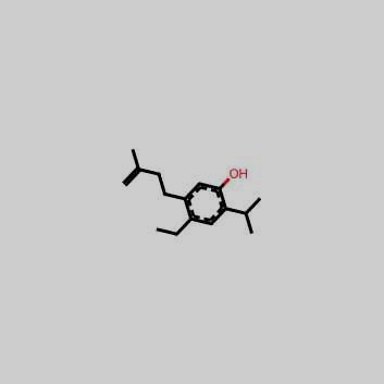 C=C(C)CCc1cc(O)c(C(C)C)cc1CC